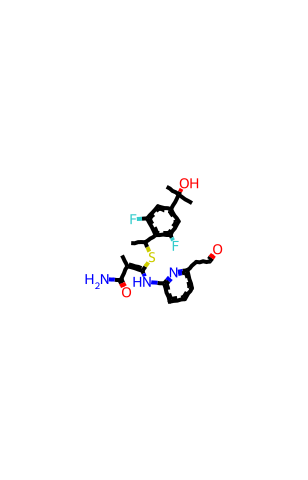 C/C(C(N)=O)=C(/Nc1cccc(CC=O)n1)SC(C)c1c(F)cc(C(C)(C)O)cc1F